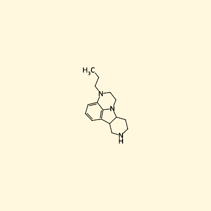 CCCN1CCN2c3c(cccc31)C1CNCCC12